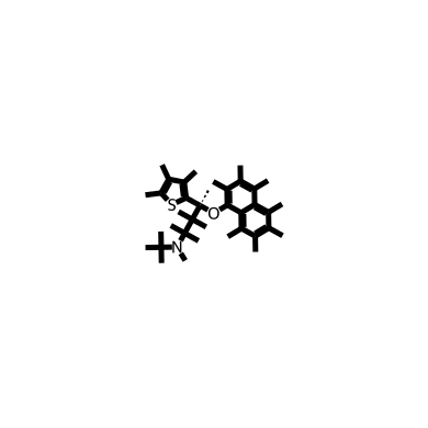 Cc1sc([C@@](C)(Oc2c(C)c(C)c(C)c3c(C)c(C)c(C)c(C)c23)C(C)(C)C(C)(C)N(C)C(C)(C)C)c(C)c1C